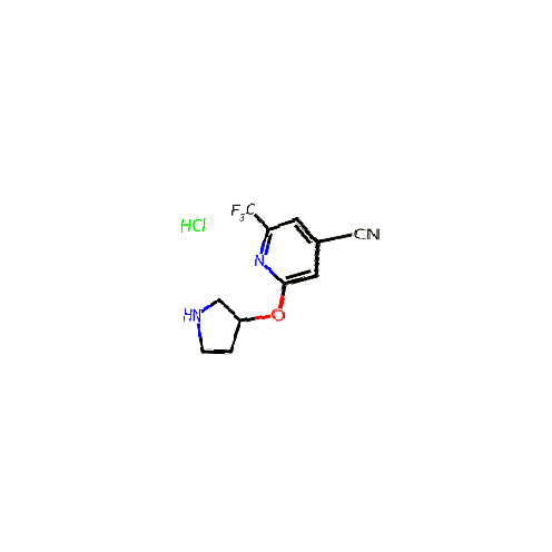 Cl.N#Cc1cc(OC2CCNC2)nc(C(F)(F)F)c1